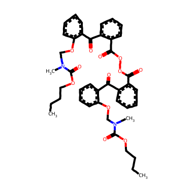 CCCCOC(=O)N(C)COc1ccccc1C(=O)c1ccccc1C(=O)OOC(=O)c1ccccc1C(=O)c1ccccc1OCN(C)C(=O)OCCCC